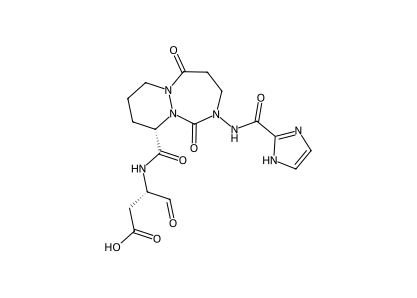 O=C[C@H](CC(=O)O)NC(=O)[C@@H]1CCCN2C(=O)CCN(NC(=O)c3ncc[nH]3)C(=O)N12